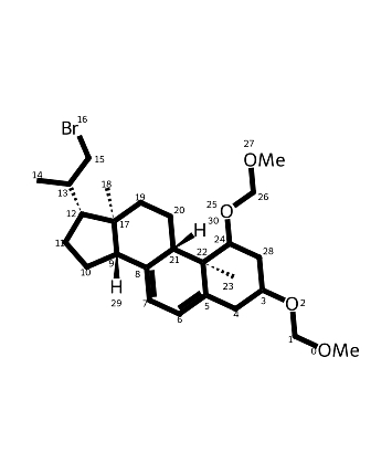 COCOC1CC2=CC=C3[C@@H]4CC[C@H](C(C)CBr)[C@@]4(C)CC[C@@H]3[C@@]2(C)C(OCOC)C1